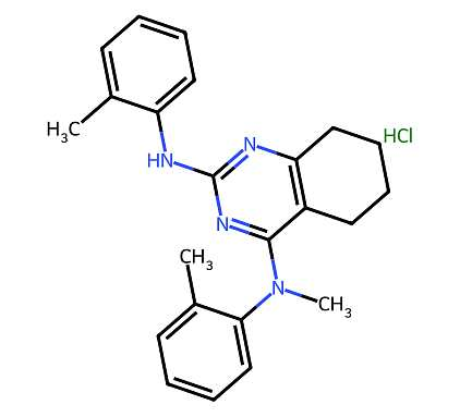 Cc1ccccc1Nc1nc2c(c(N(C)c3ccccc3C)n1)CCCC2.Cl